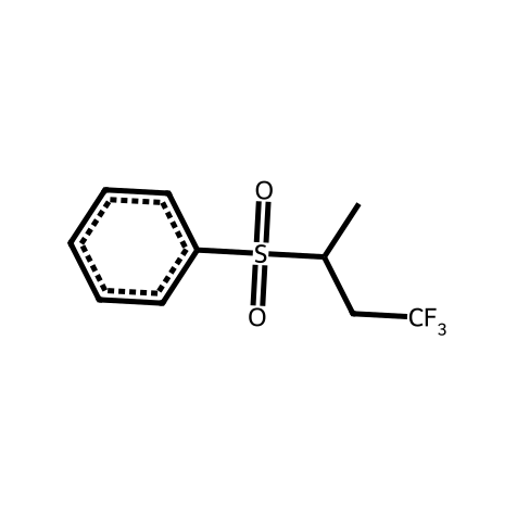 CC(CC(F)(F)F)S(=O)(=O)c1ccccc1